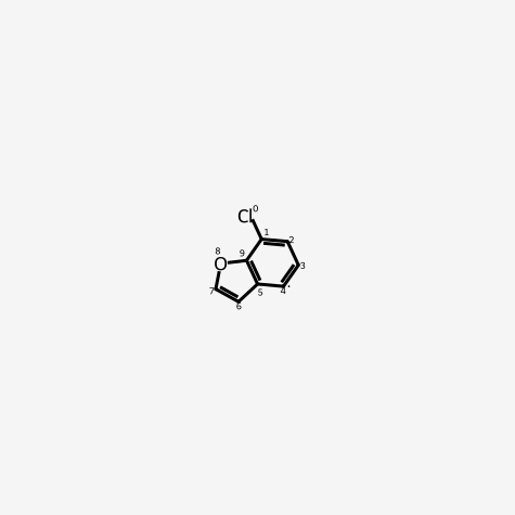 Clc1cc[c]c2ccoc12